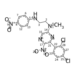 CN(CCNc1ccc([N+](=O)[O-])cc1)c1cnc([N+](=O)[O-])c(-c2ccc(Cl)cc2Cl)n1